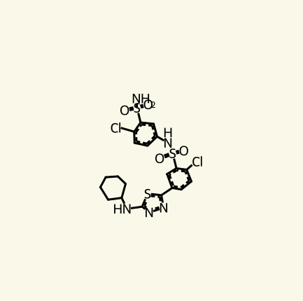 NS(=O)(=O)c1cc(NS(=O)(=O)c2cc(-c3nnc(NC4CCCCC4)s3)ccc2Cl)ccc1Cl